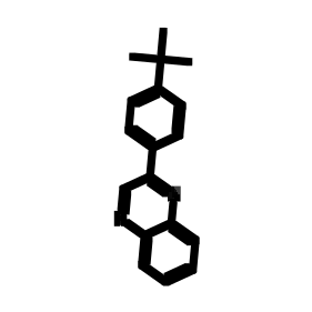 CC(C)(C)c1ccc(-c2cnc3ccccc3n2)cc1